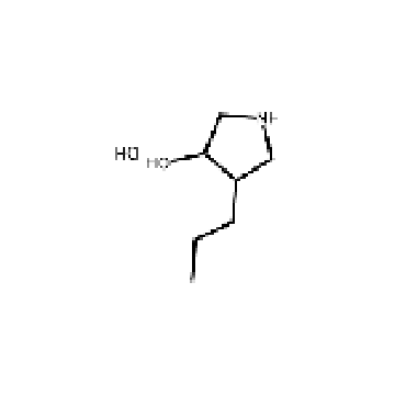 CCCC1CNCC1O.Cl